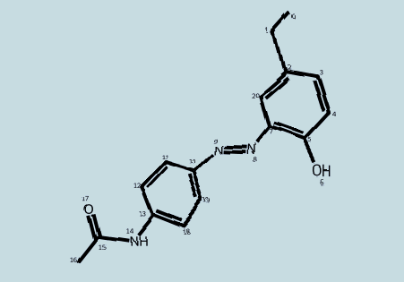 CCc1ccc(O)c(N=Nc2ccc(NC(C)=O)cc2)c1